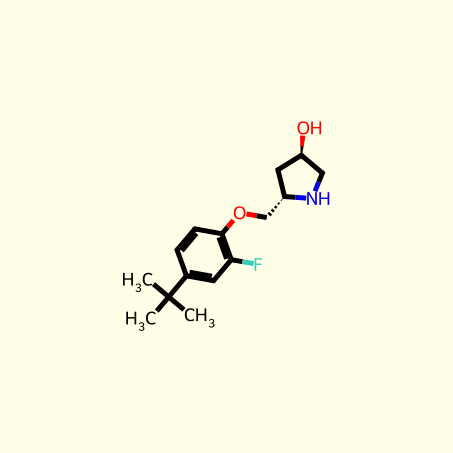 CC(C)(C)c1ccc(OC[C@@H]2C[C@@H](O)CN2)c(F)c1